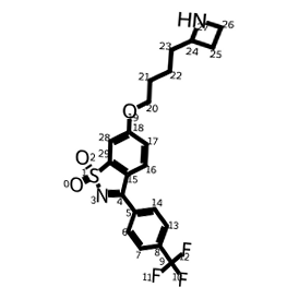 O=S1(=O)N=C(c2ccc(C(F)(F)F)cc2)c2ccc(OCCCCC3CCN3)cc21